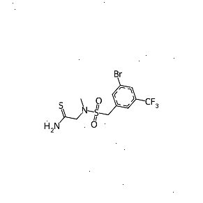 CN(CC(N)=S)S(=O)(=O)Cc1cc(Br)cc(C(F)(F)F)c1